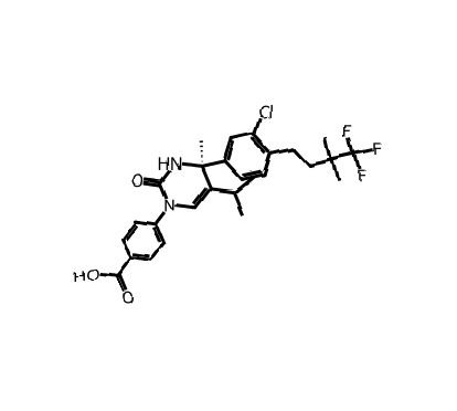 CC(C)C1=CN(c2ccc(C(=O)O)cc2)C(=O)N[C@@]1(C)c1ccc(CCC(C)(C)C(F)(F)F)c(Cl)c1